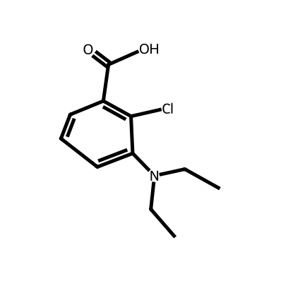 CCN(CC)c1cccc(C(=O)O)c1Cl